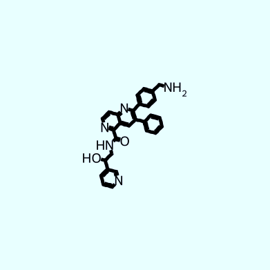 NCc1ccc(-c2nc3ccnc(C(=O)NCC(O)c4cccnc4)c3cc2-c2ccccc2)cc1